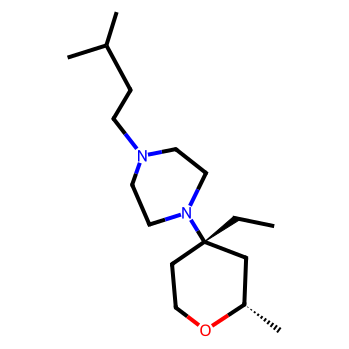 CC[C@]1(N2CCN(CCC(C)C)CC2)CCO[C@@H](C)C1